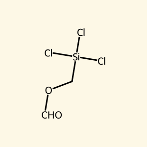 O=COC[Si](Cl)(Cl)Cl